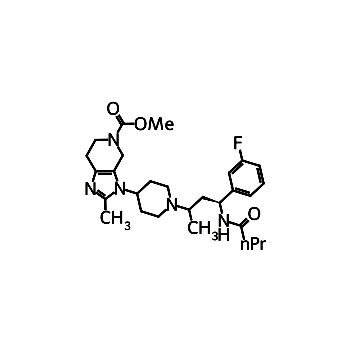 CCCC(=O)N[C@@H](CC(C)N1CCC(n2c(C)nc3c2CN(C(=O)OC)CC3)CC1)c1cccc(F)c1